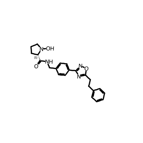 O=C(NCc1ccc(-c2noc(CCc3ccccc3)n2)cc1)[C@@H]1CCCN1O